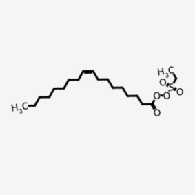 CCCCCCCC/C=C\CCCCCCCC(=O)OOS(=O)(=O)CC